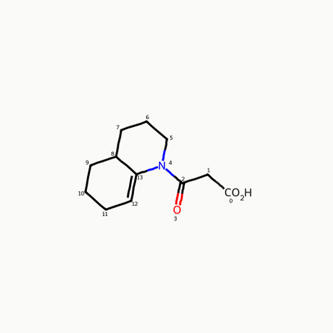 O=C(O)CC(=O)N1CCCC2CCCC=C21